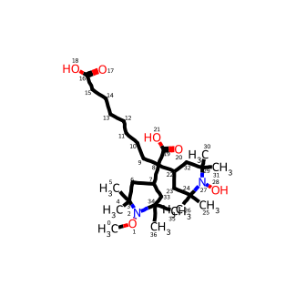 CON1C(C)(C)CC(C(CCCCCCCC(=O)O)(C(=O)O)C2CC(C)(C)N(O)C(C)(C)C2)CC1(C)C